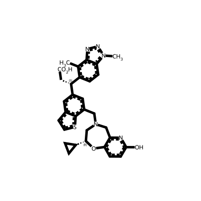 Cc1c([C@@H](CC(=O)O)c2cc(CN3Cc4nc(O)ccc4O[C@H](C4CC4)C3)c3sccc3c2)ccc2c1nnn2C